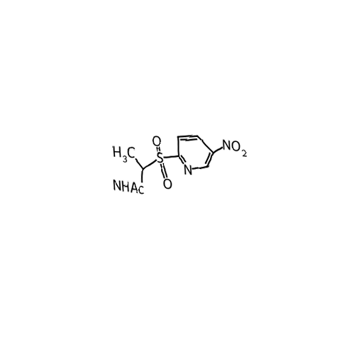 CC(=O)NC(C)S(=O)(=O)c1ccc([N+](=O)[O-])cn1